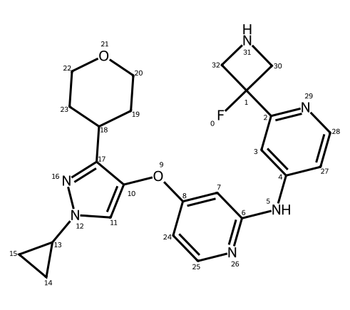 FC1(c2cc(Nc3cc(Oc4cn(C5CC5)nc4C4CCOCC4)ccn3)ccn2)CNC1